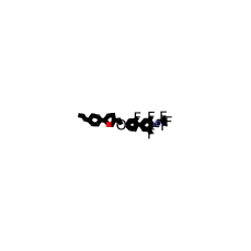 CCCC1CCC(C2CCC(COc3ccc(-c4cc(F)c(/C=C/C(F)(F)F)c(F)c4)c(F)c3)CC2)CC1